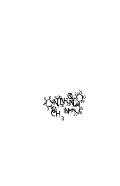 COc1ccccc1N1CCN(CCN(C(=O)C2CCCCC2)c2ccccc2C#N)CC1